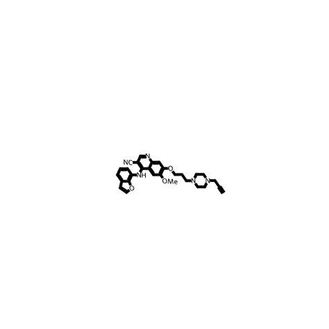 C#CCN1CCN(CCCOc2cc3ncc(C#N)c(Nc4cccc5ccoc45)c3cc2OC)CC1